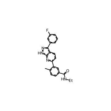 CCNC(=O)c1ccc(C)c(-c2ccc3c(-c4cccc(F)c4)n[nH]c3n2)c1